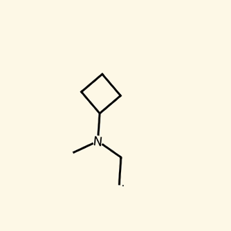 [CH2]CN(C)C1CCC1